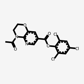 CC(=O)N1CCOc2cc(C(=O)Oc3c(Cl)cc(Cl)cc3Cl)cnc21